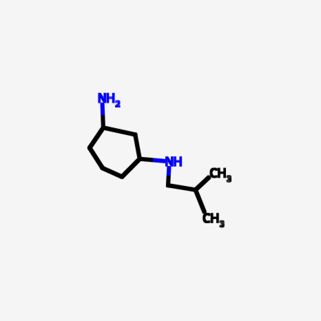 CC(C)CNC1CCCC(N)C1